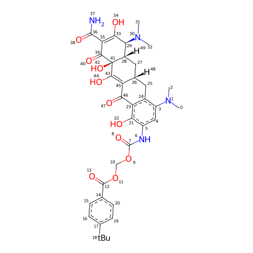 CN(C)c1cc(NC(=O)OCOC(=O)c2ccc(C(C)(C)C)cc2)c(O)c2c1C[C@H]1C[C@H]3[C@H](N(C)C)C(O)=C(C(N)=O)C(=O)[C@@]3(O)C(O)=C1C2=O